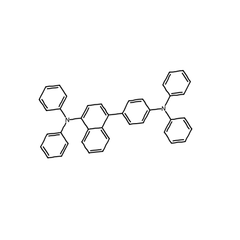 c1ccc(N(c2ccccc2)c2ccc(-c3ccc(N(c4ccccc4)c4ccccc4)c4ccccc34)cc2)cc1